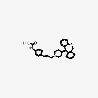 CC(=O)Nc1ccc(/C=C/CN2CCC(=C3c4ccccc4CSc4ccccc43)CC2)cc1